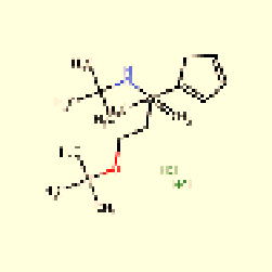 Cl.Cl.[CH2]=[Zr]([CH3])([CH2]CO[Si](C)(C)C)([NH]C(C)(C)C)[C]1=CC=CC1